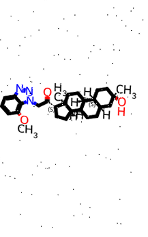 COc1cccc2nnn(CC(=O)[C@H]3CC[C@H]4[C@@H]5CC[C@@H]6C[C@](C)(O)CC[C@@H]6[C@H]5CC[C@]34C)c12